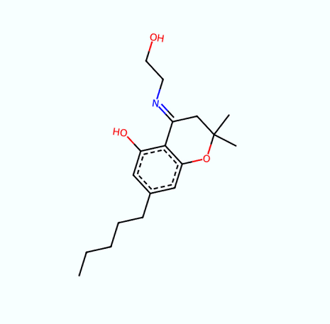 CCCCCc1cc(O)c2c(c1)OC(C)(C)CC2=NCCO